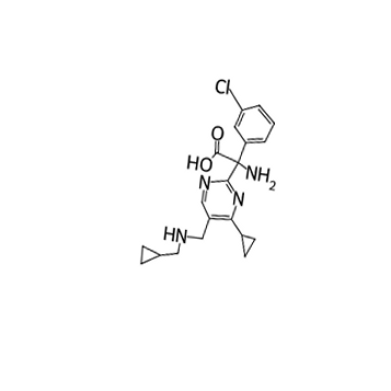 NC(C(=O)O)(c1cccc(Cl)c1)c1ncc(CNCC2CC2)c(C2CC2)n1